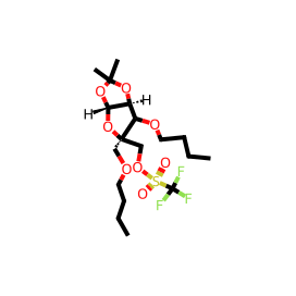 CCCCOC[C@]1(COS(=O)(=O)C(F)(F)F)O[C@@H]2OC(C)(C)O[C@H]2C1OCCCC